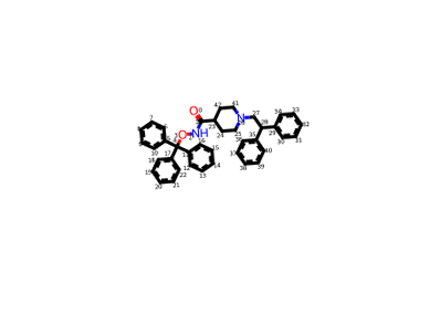 O=C(NOC(c1ccccc1)(c1ccccc1)c1ccccc1)C1CCN(CC(c2ccccc2)c2ccccc2)CC1